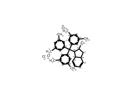 Cc1cc(C)cc(C(c2cc(C)cc(C)c2)(c2cc(C)cc(C)c2)C2[CH]([Ti+3])CC3C=CC=CC32)c1.[Cl-].[Cl-].[Cl-]